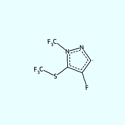 Fc1[c]nn(C(F)(F)F)c1SC(F)(F)F